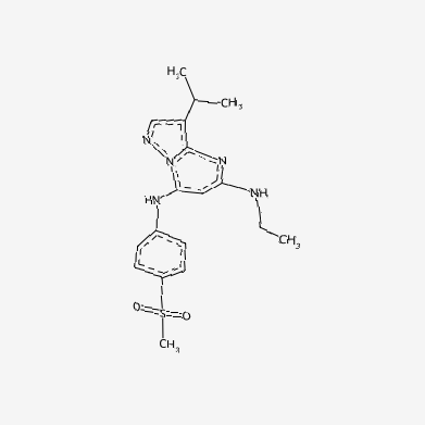 CCNc1cc(Nc2ccc(S(C)(=O)=O)cc2)n2ncc(C(C)C)c2n1